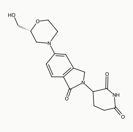 O=C1CCC(N2Cc3cc(N4CCO[C@@H](CO)C4)ccc3C2=O)C(=O)N1